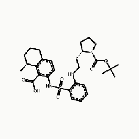 C[C@H]1CCCc2ccc(NS(=O)(=O)c3ccccc3NCC[C@@H]3CCCN3C(=O)OC(C)(C)C)c(C(=O)O)c21